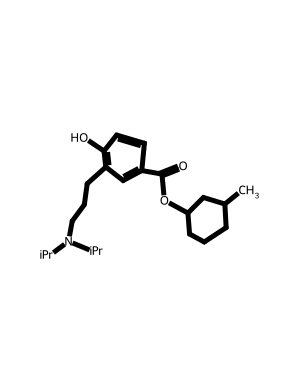 CC1CCCC(OC(=O)c2ccc(O)c(CCCN(C(C)C)C(C)C)c2)C1